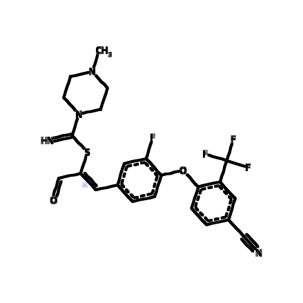 CN1CCN(C(=N)S/C(C=O)=C\c2ccc(Oc3ccc(C#N)cc3C(F)(F)F)c(F)c2)CC1